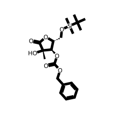 CC(C)(C)[Si](C)(C)OC[C@H]1OC(=O)[C@@](C)(O)[C@@H]1OC(=O)OCc1ccccc1